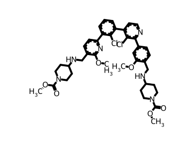 COC(=O)N1CCC(NCc2ccc(-c3nccc(-c4cccc(-c5ccc(CNC6CCN(C(=O)OC)CC6)c(OC)n5)c4Cl)c3Cl)cc2OC)CC1